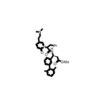 COC(=O)C[C@H](NC(=O)C(CC(C)C)n1cc(CCN(C)C)ccc1=O)c1cccc(-c2c(C)cccc2C)c1